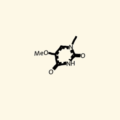 COc1cn(C)c(=O)[nH]c1=O